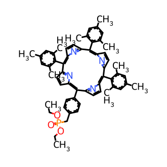 CCOP(=O)(Cc1ccc(C2=C3C=CC(=N3)C(c3c(C)cc(C)cc3C)=C3C=CC(=N3)C(c3c(C)cc(C)cc3C)=C3C=CC(=N3)C(c3c(C)cc(C)cc3C)=C3C=CC2=N3)cc1)OCC